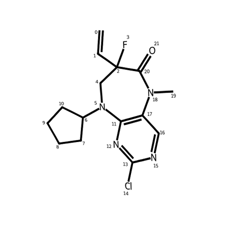 C=CC1(F)CN(C2CCCC2)c2nc(Cl)ncc2N(C)C1=O